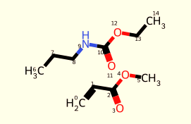 C=CC(=O)OC.CCCNC(=O)OCC